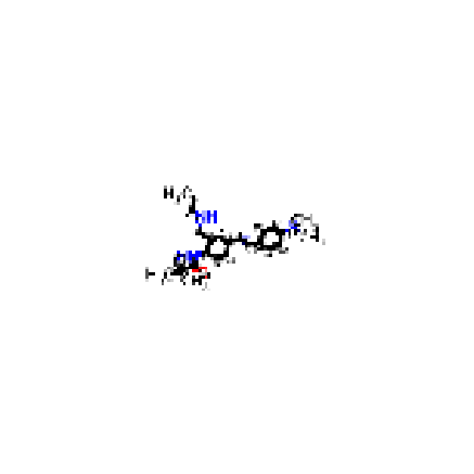 CCCNCc1cc(/C=C/c2ccc(N(C)C)cc2)ccc1NC(=O)C(C)(C)C